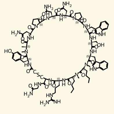 CCCC[C@H]1C(=O)N(C)[C@@H](CCCC)C(=O)N[C@@H](CCCNC(=N)N)C(=O)NC(C(=O)NCC(N)=O)CSCC(=O)N[C@@H](Cc2ccc(O)cc2)C(=O)N(C)[C@@H](C)C(=O)N[C@@H](CC(N)=O)C(=O)N2CCC[C@H]2C(=O)N[C@@H](CC(N)=O)C(=O)N[C@@H](CC(N)=O)C(=O)N2CCC[C@H]2C(=O)N[C@@H](Cc2c[nH]c3ccccc23)C(=O)N[C@@H](CO)C(=O)N[C@@H](Cc2c[nH]c3ccccc23)C(=O)N1C